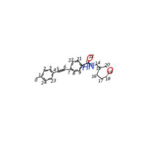 Cc1ccc(C#Cc2ccc(C(=O)NCC3CCCOC3)cc2)cc1